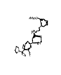 COc1ccccc1CCNc1cc(-c2cnc(C(=O)N3CCCC3)c(F)c2)ncn1